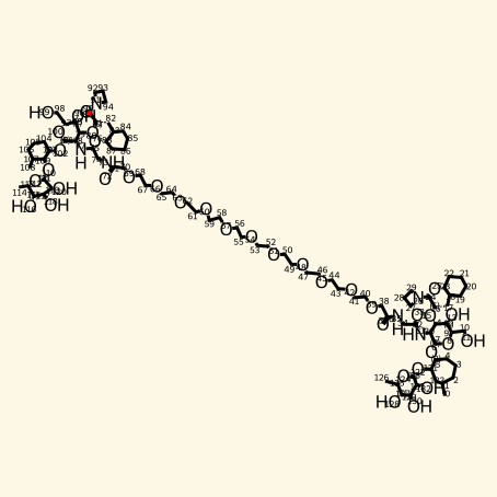 CC1CCC[C@@H](O[C@@H]2OC(CO)[C@H](O)C(O[C@@H](CC3CCCCC3)C(=O)N3CCC3)C2NC(=O)CNC(=O)COCCOCCOCCOCCOCCOCCOCCOCCOCCOCCOCC(=O)NCC(=O)NC2C(O[C@@H](CC3CCCCC3)C(=O)N3CCC3)[C@@H](O)C(CO)O[C@H]2O[C@@H]2CCCC(C)C2O[C@@H]2OC(C)[C@@H](O)C(O)C2O)C(O[C@@H]2OC(C)[C@@H](O)C(O)C2O)C1